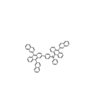 c1ccc(N(c2ccc(-c3ccc4c(-c5ccc6ccccc6c5)c5ccccc5c(-c5ccc6ccccc6c5)c4c3)cc2)c2c3ccccc3c(-c3ccc4ccccc4c3)c3ccccc23)cc1